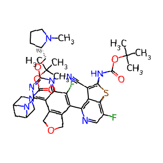 CN1CCC[C@H]1COc1nc(N2C3CC2CN(C(=O)OC(C)(C)C)C3)c2c3c(c(-c4ncc(F)c5sc(NC(=O)OC(C)(C)C)c(C#N)c45)c(F)c2n1)COC3